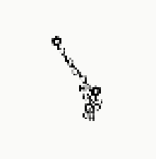 O=C1CCC(N2C(=O)c3cccc(NCCOCCOCCOCCCOCc4ccccc4)c3C2=O)C(=O)N1